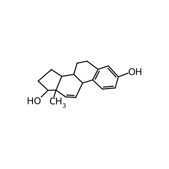 CC12C=CC3c4ccc(O)cc4CCC3C1CCC2O